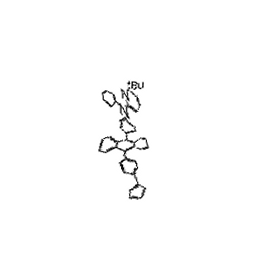 CC(C)(C)c1cccc(N(c2ccccc2)c2ccc(-c3c4ccccc4c(-c4ccc(-c5ccccc5)cc4)c4ccccc34)cc2)n1